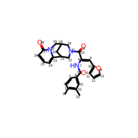 Cc1ccc(C(=O)N/C(=C\c2ccco2)C(=O)N2CC3CC(C2)c2cccc(=O)n2C3)cc1C